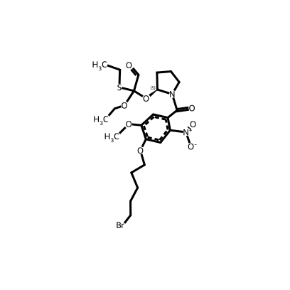 CCOC(C=O)(O[C@H]1CCCN1C(=O)c1cc(OC)c(OCCCCCBr)cc1[N+](=O)[O-])SCC